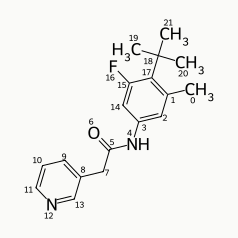 Cc1cc(NC(=O)Cc2cccnc2)cc(F)c1C(C)(C)C